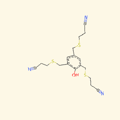 N#CCCSCc1cc(CSCCC#N)c(O)c(CSCCC#N)c1